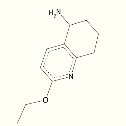 CCOc1ccc2c(n1)CCCC2N